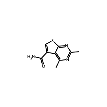 Cc1nc(C)c2c(C(N)=O)csc2n1